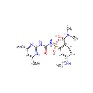 COc1cc(OC)nc(NC(=O)NS(=O)(=O)c2cc(NC(=O)O)ccc2C(=O)N(C)C)n1